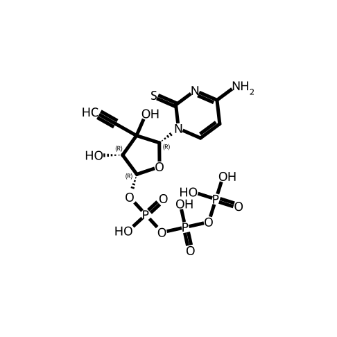 C#CC1(O)[C@@H](O)[C@@H](OP(=O)(O)OP(=O)(O)OP(=O)(O)O)O[C@H]1n1ccc(N)nc1=S